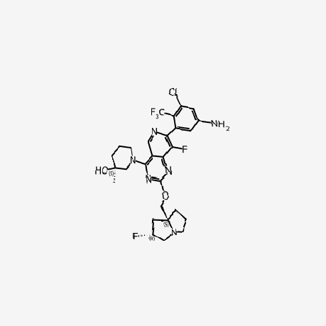 C[C@]1(O)CCCN(c2nc(OC[C@@]34CCCN3C[C@H](F)C4)nc3c(F)c(-c4cc(N)cc(Cl)c4C(F)(F)F)ncc23)C1